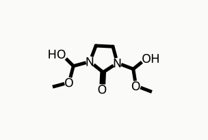 COC(O)N1CCN(C(O)OC)C1=O